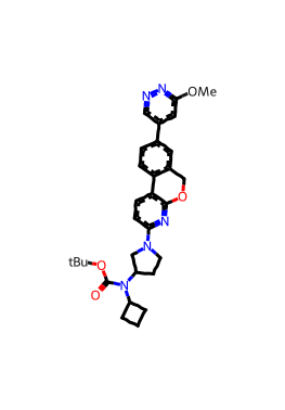 COc1cc(-c2ccc3c(c2)COc2nc(N4CCC(N(C(=O)OC(C)(C)C)C5CCC5)C4)ccc2-3)cnn1